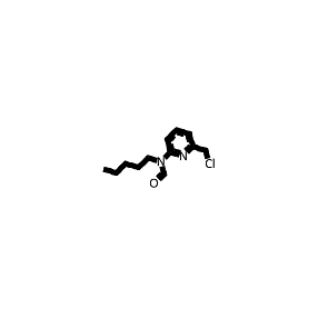 CCCCCN(C=O)c1cccc(CCl)n1